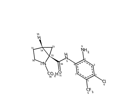 Nc1cc(Cl)c(C(F)(F)F)cc1NC(=O)[C@]12C[C@H]1CCN2C(=O)O